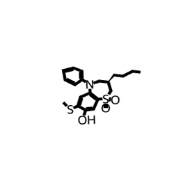 CCCC[C@@H]1CN(c2ccccc2)c2cc(SC)c(O)cc2S(=O)(=O)C1